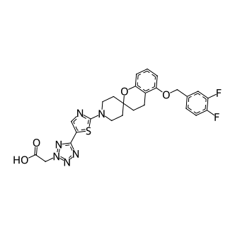 O=C(O)Cn1nnc(-c2cnc(N3CCC4(CCc5c(OCc6ccc(F)c(F)c6)cccc5O4)CC3)s2)n1